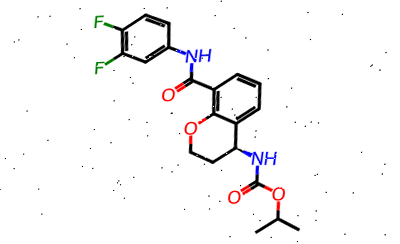 CC(C)OC(=O)N[C@H]1CCOc2c(C(=O)Nc3ccc(F)c(F)c3)cccc21